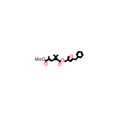 COC(=O)/C(C)=C/C1C(C(=O)OCc2coc(Cc3ccccc3)c2)C1(C)C